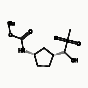 CC(C)(C)OC(=O)N[C@H]1CC[C@@H](C(O)S(C)(=O)=O)C1